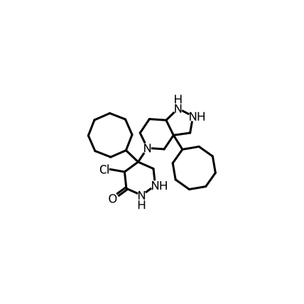 O=C1NNCC(C2CCCCCCC2)(N2CCC3NNCC3(C3CCCCCCC3)C2)C1Cl